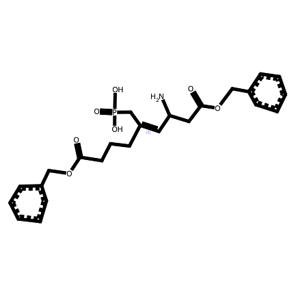 NC(/C=C(/CCCC(=O)OCc1ccccc1)CP(=O)(O)O)CC(=O)OCc1ccccc1